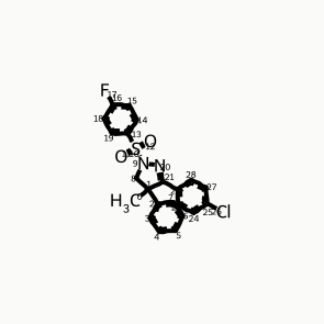 CC1(c2ccccc2)CN(S(=O)(=O)c2ccc(F)cc2)N=C1c1ccc(Cl)cc1